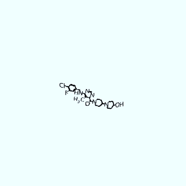 Cc1c(NCc2ccc(Cl)c(F)c2)ncnc1C(=O)N1CCC(N2CCC(O)CC2)CC1